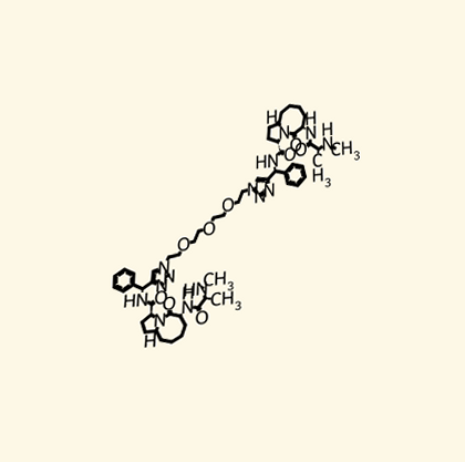 CN[C@@H](C)C(=O)N[C@H]1CCCC[C@H]2CC[C@@H](C(=O)N[C@H](c3ccccc3)c3cn(CCOCCOCCOCCn4cc([C@@H](NC(=O)[C@@H]5CC[C@@H]6CCCC[C@H](NC(=O)[C@H](C)NC)C(=O)N65)c5ccccc5)nn4)nn3)N2C1=O